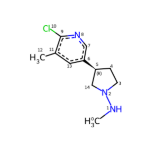 CNN1CC[C@H](c2cnc(Cl)c(C)c2)C1